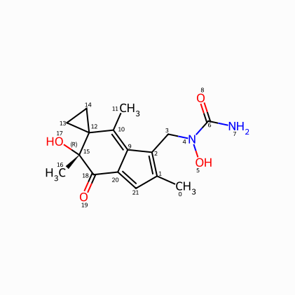 CC1=C(CN(O)C(N)=O)C2=C(C)C3(CC3)[C@@](C)(O)C(=O)C2=C1